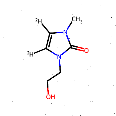 [2H]c1c([2H])n(CCO)c(=O)n1C